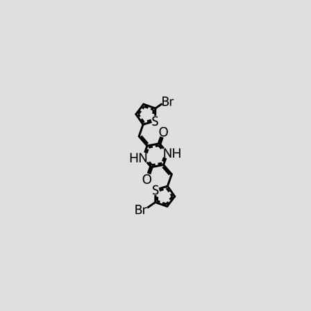 O=c1[nH]c(=Cc2ccc(Br)s2)c(=O)[nH]c1=Cc1ccc(Br)s1